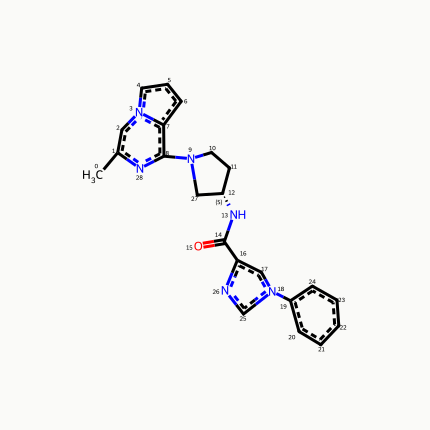 Cc1cn2cccc2c(N2CC[C@H](NC(=O)c3cn(-c4ccccc4)cn3)C2)n1